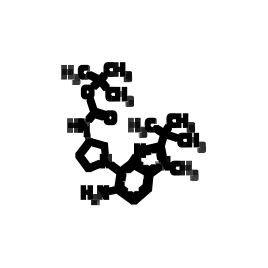 Cn1c(C(C)(C)C)nc2c(N3CC[C@H](NC(=O)OC(C)(C)C)C3)c(N)ccc21